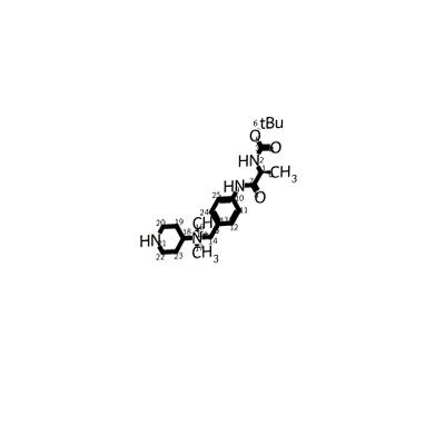 C[C@H](NC(=O)OC(C)(C)C)C(=O)Nc1ccc(C[N+](C)(C)C2CCNCC2)cc1